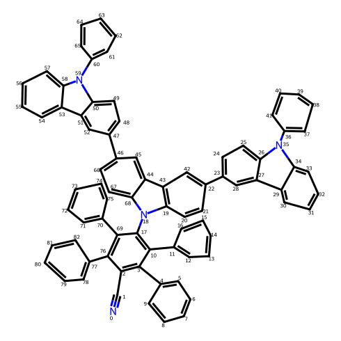 N#Cc1c(-c2ccccc2)c(-c2ccccc2)c(-n2c3ccc(-c4ccc5c(c4)c4ccccc4n5-c4ccccc4)cc3c3cc(-c4ccc5c(c4)c4ccccc4n5-c4ccccc4)ccc32)c(-c2ccccc2)c1-c1ccccc1